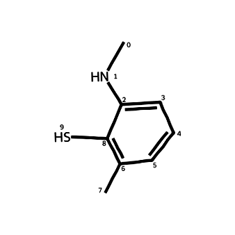 CNc1cccc(C)c1S